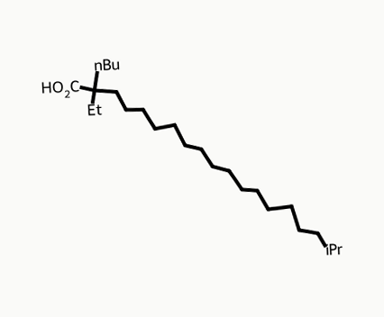 CCCCC(CC)(CCCCCCCCCCCCCCCC(C)C)C(=O)O